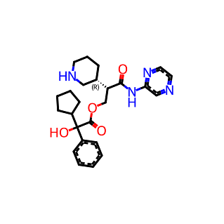 O=C(Nc1cnccn1)C(COC(=O)C(O)(c1ccccc1)C1CCCC1)[C@H]1CCCNC1